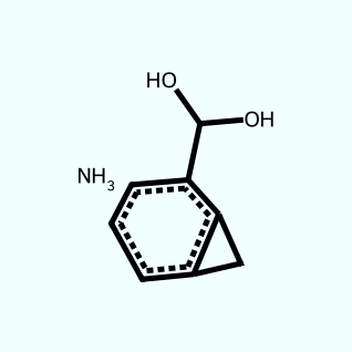 N.OC(O)c1cccc2c1C2